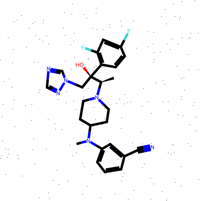 C[C@@H](N1CCC(N(C)c2cccc(C#N)c2)CC1)[C@](O)(Cn1cncn1)c1ccc(F)cc1F